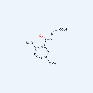 COc1ccc(OC)c(C(=O)C=CC(=O)O)c1